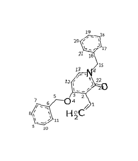 C=Cc1c(OCc2ccccc2)ccn(Cc2ccccc2)c1=O